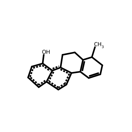 CC1CC=CC2=C1CCc1c2ccc2cccc(O)c12